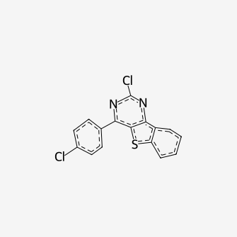 Clc1ccc(-c2nc(Cl)nc3c2sc2ccccc23)cc1